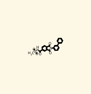 CS(=O)(=O)NC(=O)c1ccc2c(c1)C(=O)N(c1cccc(-c3ccccc3)c1)C2=O